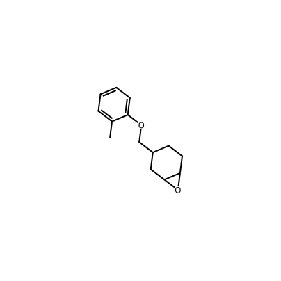 Cc1ccccc1OCC1CCC2OC2C1